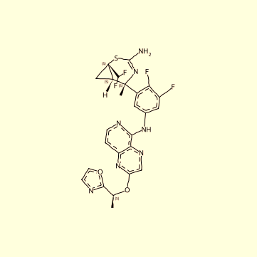 C[C@H](Oc1cnc2c(Nc3cc(F)c(F)c([C@@]4(C)N=C(N)S[C@@]5(C(F)F)C[C@@H]45)c3)nccc2n1)c1ncco1